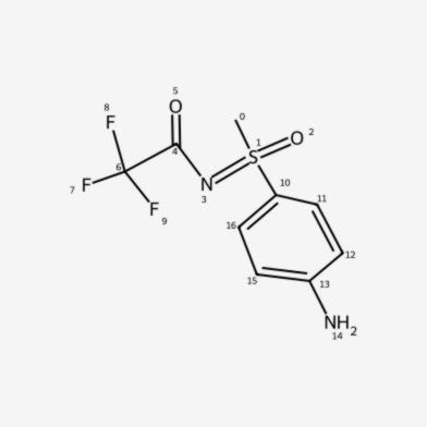 CS(=O)(=NC(=O)C(F)(F)F)c1ccc(N)cc1